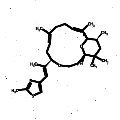 CC(=Cc1csc(C)n1)[C@@H]1C/C=C(\C)CC/C=C(\C)[C@H]2O[C@@H](CCO1)C(C)(C)C[C@H]2C